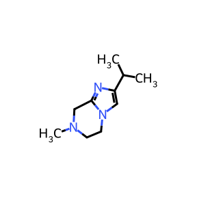 CC(C)c1cn2c(n1)CN(C)CC2